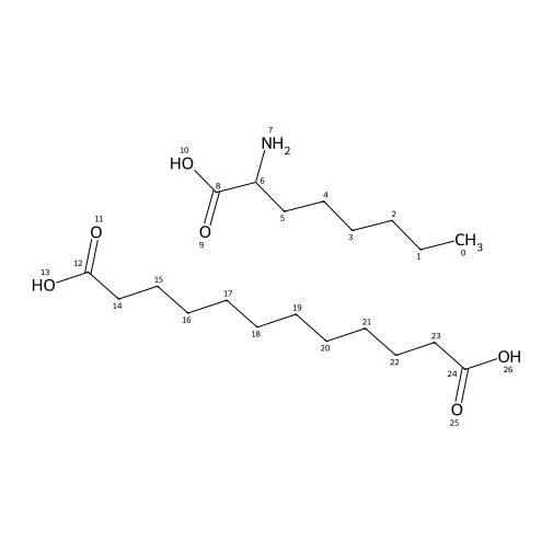 CCCCCCC(N)C(=O)O.O=C(O)CCCCCCCCCCC(=O)O